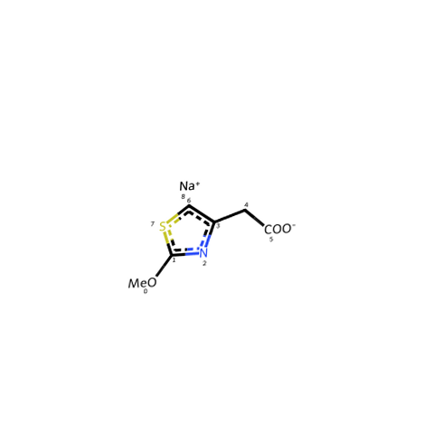 COc1nc(CC(=O)[O-])cs1.[Na+]